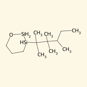 CCC(C)C(C)(C)C(C)(C)[SiH]1CCCO[SiH2]1